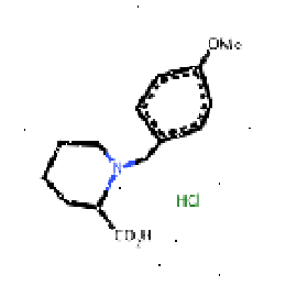 COc1ccc(CN2CCCCC2C(=O)O)cc1.Cl